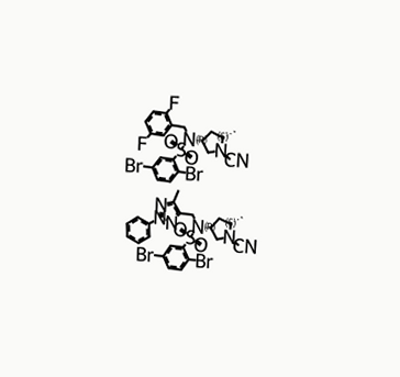 C[C@H]1C[C@@H](N(Cc2cc(F)ccc2F)S(=O)(=O)c2cc(Br)ccc2Br)CN1C#N.Cc1nn(-c2ccccc2)nc1CN([C@@H]1C[C@H](C)N(C#N)C1)S(=O)(=O)c1cc(Br)ccc1Br